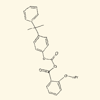 CCCOc1ccccc1C(=O)OC(=O)Oc1ccc(C(C)(C)c2ccccc2)cc1